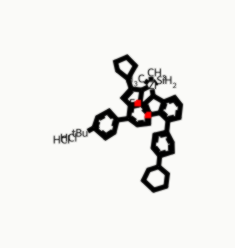 CCC1=Cc2c(-c3ccc(C4CCCCC4)cc3)cccc2[CH]1[Zr]([CH3])([CH3])(=[SiH2])[CH]1C(C2CCCC2)=Cc2c(-c3ccc(C(C)(C)C)cc3)cccc21.Cl.Cl